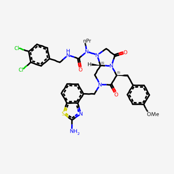 CCCN(C(=O)NCc1ccc(Cl)c(Cl)c1)N1CC(=O)N2[C@@H](Cc3ccc(OC)cc3)C(=O)N(Cc3cccc4sc(N)nc34)C[C@@H]21